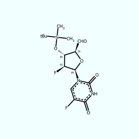 CC(C)(C)[Si](C)(C)O[C@H]1[C@H](F)[C@H](n2cc(F)c(=O)[nH]c2=O)O[C@@H]1C=O